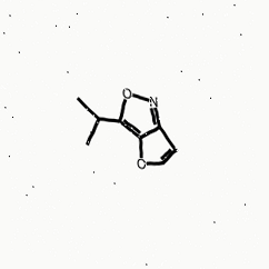 CC(C)c1onc2ccoc12